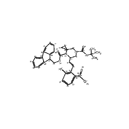 CC(C)(C)OC(=O)N1CC(C=Cc2c(F)cccc2[N+](=O)[O-])N(C(=O)OCC2c3ccccc3-c3ccccc32)C2(CC2)C1